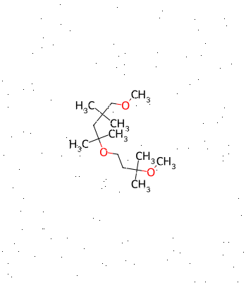 COCC(C)(C)CC(C)(C)OCCC(C)(C)OC